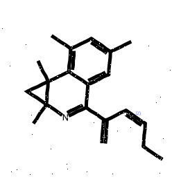 C=C(/C=C\CC)C1=NC2(C)CC2(C)c2c(C)cc(C)cc21